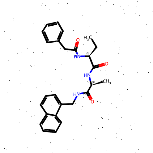 CC[C@H](NC(=O)Cc1ccccc1)C(=O)N[C@@H](C)C(=O)NCc1cccc2ccccc12